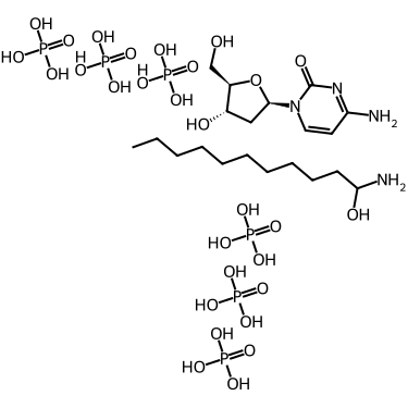 CCCCCCCCCCC(N)O.Nc1ccn([C@H]2C[C@H](O)[C@@H](CO)O2)c(=O)n1.O=P(O)(O)O.O=P(O)(O)O.O=P(O)(O)O.O=P(O)(O)O.O=P(O)(O)O.O=P(O)(O)O